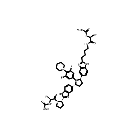 COC(=O)NC(C(=O)NCCCCc1nc2cc([C@H]3CC[C@H](c4ccc5[nH]c([C@@H]6CCCN6C(=O)[C@@H](NC(=O)OC)C(C)C)nc5c4)N3c3cc(F)c(N4CCCCC4)c(F)c3)ccc2[nH]1)C(C)C